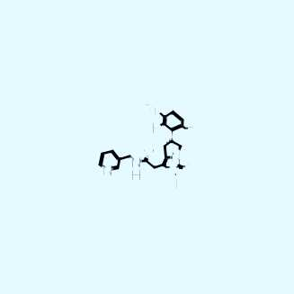 O=C(Cc1[nH]c(=S)n2c1C[C@@H](c1c(F)ccc(Br)c1F)C2)NCc1cccnc1